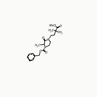 COC(=O)C(C)(C)CCN1CCN(C(=O)OCc2ccccc2)C(C)C1=O